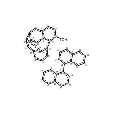 Oc1ccc2cc3ccc2c1c1cccc2cc3ccc21.c1ccc2c(-c3cccc4ccccc34)cccc2c1